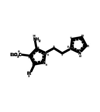 CCOC(=O)c1c(CC)nn(CCn2cccn2)c1N